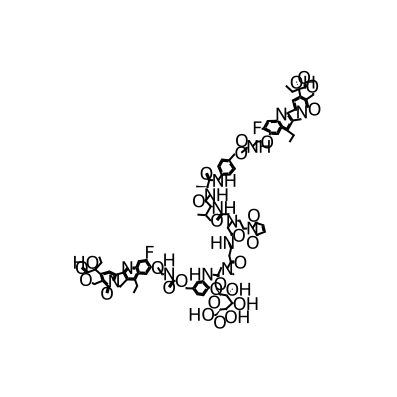 CCc1c2c(nc3cc(F)c(OCNC(=O)OCc4ccc(NC(=O)[C@H](C)NC(=O)[C@@H](NC(=O)CN(CCN5C(=O)C=CC5=O)CC(=O)NCCC(=O)N(C)CC(=O)Nc5cc(COC(=O)NCOc6cc7c(CC)c8c(nc7cc6F)-c6cc7c(c(=O)n6C8)COC(=O)[C@]7(O)CC)ccc5O[C@@H]5O[C@H](C(=O)O)[C@@H](O)[C@H](O)[C@H]5O)C(C)C)cc4)cc13)-c1cc3c(c(=O)n1C2)COC(=O)[C@]3(O)CC